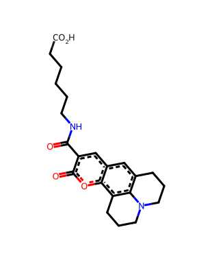 O=C(O)CCCCCNC(=O)c1cc2cc3c4c(c2oc1=O)CCCN4CCC3